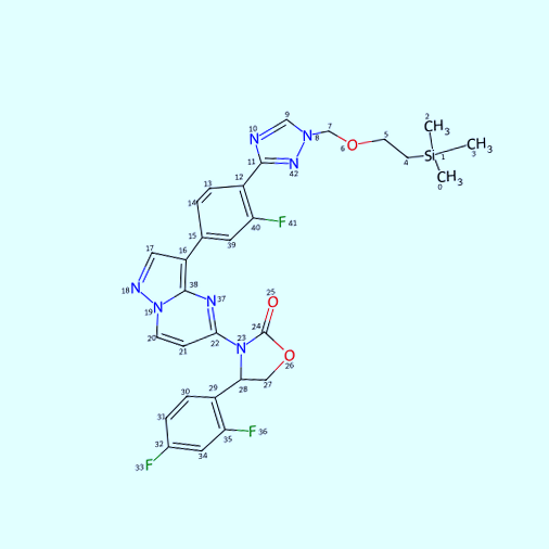 C[Si](C)(C)CCOCn1cnc(-c2ccc(-c3cnn4ccc(N5C(=O)OCC5c5ccc(F)cc5F)nc34)cc2F)n1